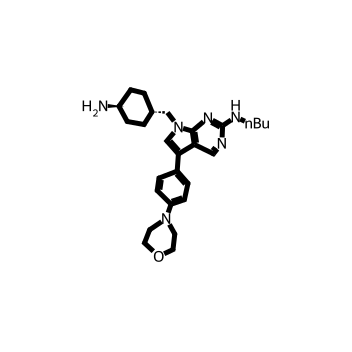 CCCCNc1ncc2c(-c3ccc(N4CCOCC4)cc3)cn(C[C@H]3CC[C@H](N)CC3)c2n1